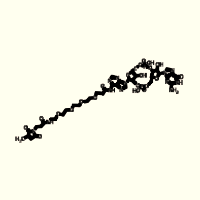 CC1=CC(=O)N(CCC(=O)NCCOCCOCCOCCOCCC(=O)Nc2ncnc3c2ncn3C2OC3COP(=O)(O)OC4C(COP(=O)(O)OC2C3O)OC(n2cnc3c(=O)[nH]c(N)nc32)C4O)C1=O